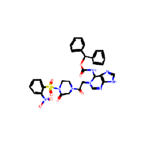 O=C(NC1c2nc[nH]c2N=CN1CC(=O)N1CCN(S(=O)(=O)c2ccccc2[N+](=O)[O-])C(=O)C1)OC(c1ccccc1)c1ccccc1